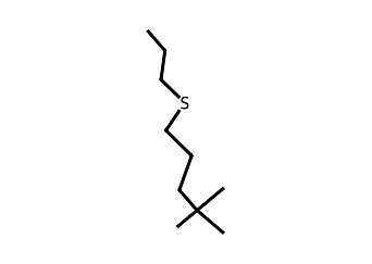 CCCSCCCC(C)(C)C